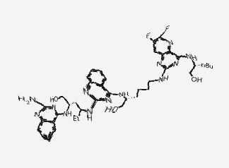 CCCC[C@H](CO)Nc1nc(NCCCC[C@H](CO)Nc2nc(NC(CC)C[C@@H](CO)Nc3nc(N)nc4ccccc34)nc3ccccc23)nc2cc(F)c(F)nc12